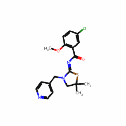 COc1ccc(Cl)cc1C(=O)N=C1SC(C)(C)CN1Cc1ccncc1